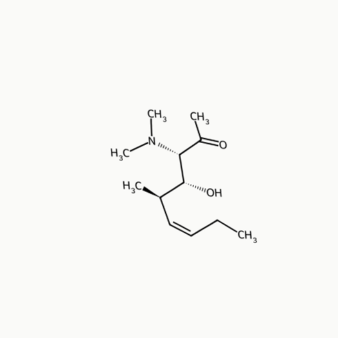 CC/C=C\[C@@H](C)[C@@H](O)[C@@H](C(C)=O)N(C)C